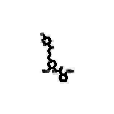 COc1ccccc1C(=O)NC1CCN(CCCNc2ccc(Cl)nn2)CC1OC